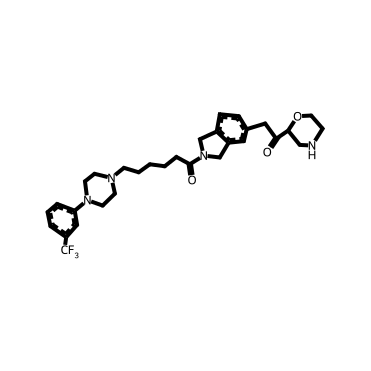 O=C(Cc1ccc2c(c1)CN(C(=O)CCCCCN1CCN(c3cccc(C(F)(F)F)c3)CC1)C2)C1CNCCO1